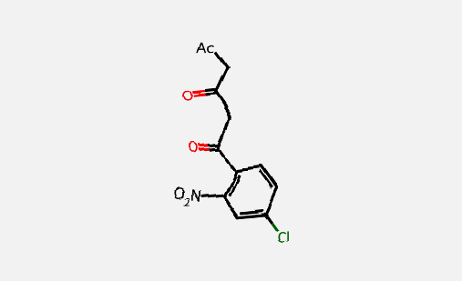 CC(=O)CC(=O)CC(=O)c1ccc(Cl)cc1[N+](=O)[O-]